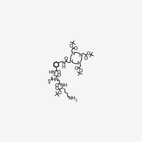 CSCC[C@H](NC(=O)c1cccc(CNC(=O)CN2CCN(CC(=O)OC(C)(C)C)CCN(CC(=O)OC(C)(C)C)CCN(CC(=O)OC(C)(C)C)CC2)c1)C(=O)NCC(=O)N[C@@H](CCCCN)C(=O)OC(C)(C)C